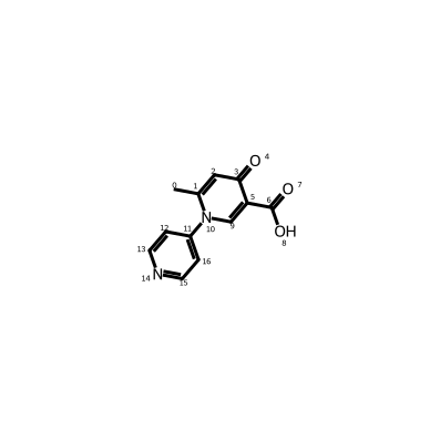 Cc1cc(=O)c(C(=O)O)cn1-c1ccncc1